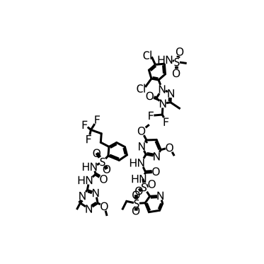 CCS(=O)(=O)c1cccnc1S(=O)(=O)NC(=O)Nc1nc(OC)cc(OC)n1.COc1nc(C)nc(NC(=O)NS(=O)(=O)c2ccccc2CCC(F)(F)F)n1.Cc1nn(-c2cc(NS(C)(=O)=O)c(Cl)cc2Cl)c(=O)n1C(F)F